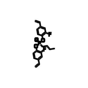 C=Cc1ccc(OP(=O)(CCCC)Oc2ccc(C=C)cc2F)c(F)c1